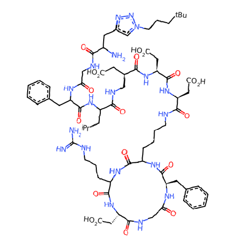 CC(C)CC(NC(=O)C(Cc1ccccc1)NC(=O)CNC(=O)C(N)Cc1cn(CCCC(C)(C)C)nn1)C(=O)NC[C@@H](CC(=O)O)C(=O)N[C@@H](CC(=O)O)C(=O)N[C@@H](CC(=O)O)C(=O)NCCCCC1NC(=O)[C@@H](Cc2ccccc2)NC(=O)CNC(=O)[C@H](CC(=O)O)NC(=O)C(CCCNC(=N)N)NC1=O